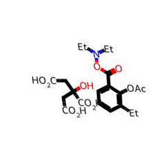 CCc1cccc(C(=O)ON(CC)CC)c1OC(C)=O.O=C(O)CC(O)(CC(=O)O)C(=O)O